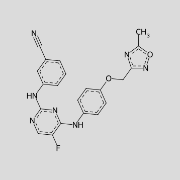 Cc1nc(COc2ccc(Nc3nc(Nc4cccc(C#N)c4)ncc3F)cc2)no1